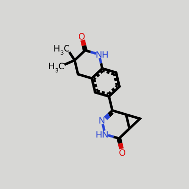 CC1(C)Cc2cc(C3=NNC(=O)C4CC34)ccc2NC1=O